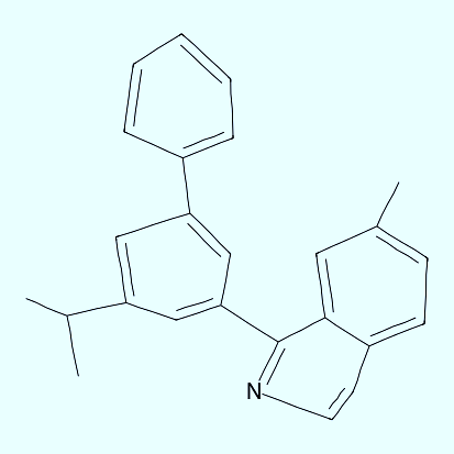 Cc1ccc2ccnc(-c3cc(-c4ccccc4)cc(C(C)C)c3)c2c1